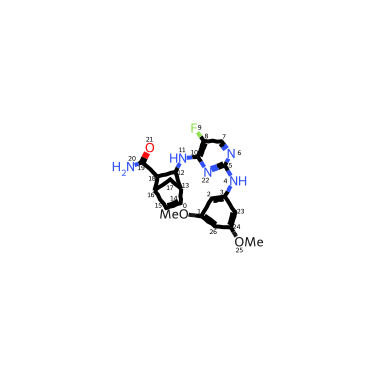 COc1cc(Nc2ncc(F)c(NC3C4C=CC(C4)C3C(N)=O)n2)cc(OC)c1